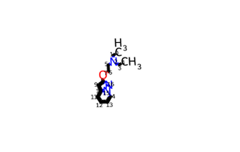 CCN(CC)CCOc1cc2ccccn2n1